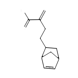 C=C(CCC1CC2C=CC1C2)C(=O)O